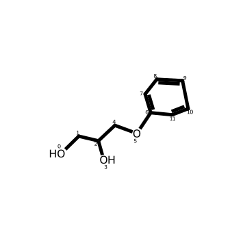 OCC(O)COc1ccccc1